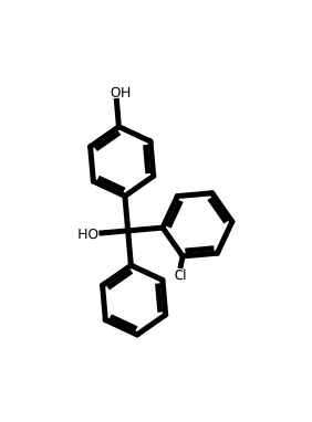 Oc1ccc(C(O)(c2ccccc2)c2ccccc2Cl)cc1